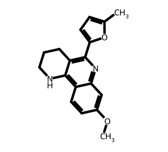 COc1ccc2c3c(c(-c4ccc(C)o4)nc2c1)CCCN3